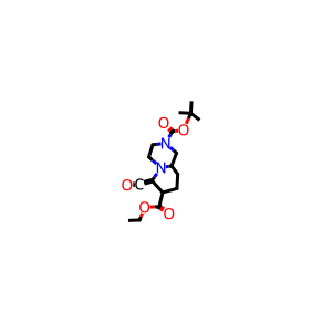 CCOC(=O)C1CCC2CN(C(=O)OC(C)(C)C)CCN2C1=C=O